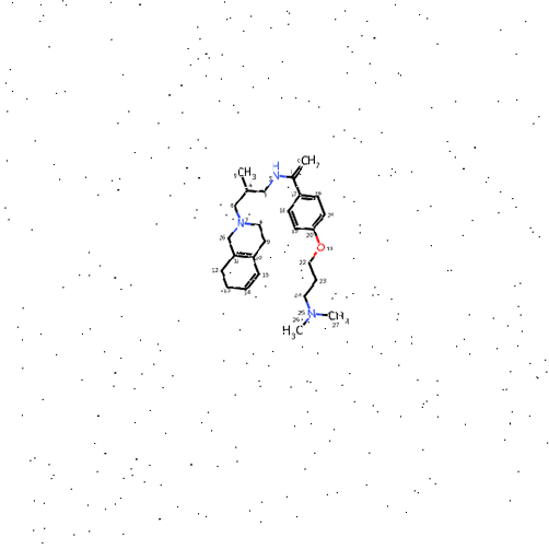 C=C(NCC(C)CN1CCC2=C(CCC=C2)C1)c1ccc(OCCCN(C)C)cc1